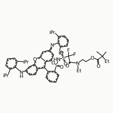 CCN(CCOC(=O)C(C)(C)CC)C(=O)C(F)(F)S(=O)(=O)NS(=O)(=O)c1ccccc1-c1c2cc/c(=N\c3c(C(C)C)cccc3C(C)C)cc-2oc2cc(Nc3c(C(C)C)cccc3C(C)C)ccc12